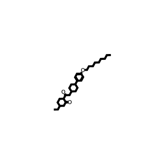 CCCCCCCCCOc1ccc(C2CCC(CC(=O)C3CCC(CC)CC3=O)CC2)cc1